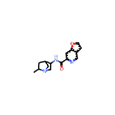 CC1CC2CN1CC2NC(=O)c1cc2occc2cn1